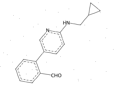 O=Cc1ccccc1-c1ccc(NCC2CC2)nc1